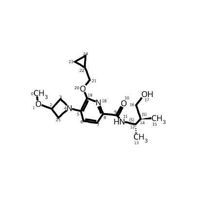 COC1CN(c2ccc(C(=O)N[C@@H](C)[C@H](C)CO)nc2OCC2CC2)C1